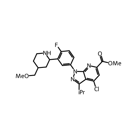 COCC1CCNC(c2cc(-n3nc(C(C)C)c4c(Cl)cc(C(=O)OC)nc43)ccc2F)C1